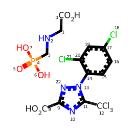 O=C(O)CNCP(=O)(O)O.O=C(O)c1nc(C(Cl)(Cl)Cl)n(-c2ccc(Cl)cc2Cl)n1